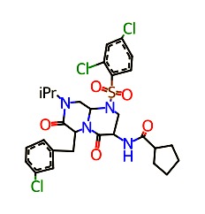 CC(C)N1CC2N(C(=O)C(NC(=O)C3CCCC3)CN2S(=O)(=O)c2ccc(Cl)cc2Cl)C(Cc2cccc(Cl)c2)C1=O